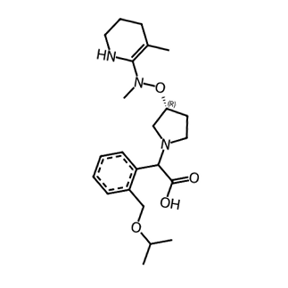 CC1=C(N(C)O[C@@H]2CCN(C(C(=O)O)c3ccccc3COC(C)C)C2)NCCC1